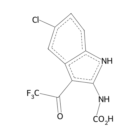 O=C(O)Nc1[nH]c2ccc(Cl)cc2c1C(=O)C(F)(F)F